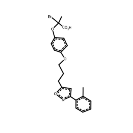 CCC(C)(Oc1ccc(OCCCc2cc(-c3ccccc3C)no2)cc1)C(=O)O